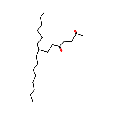 CCCCCCCCC(CCCCCC)CCC(=O)CCC(C)=O